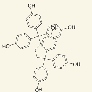 Oc1ccc(C(CCCC(c2ccc(O)cc2)(c2ccc(O)cc2)c2ccc(O)cc2)(c2ccc(O)cc2)c2ccc(O)cc2)cc1